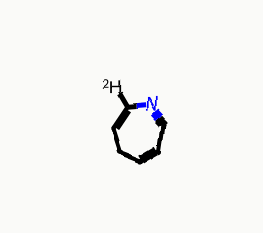 [2H]C1=CCC=CC=N1